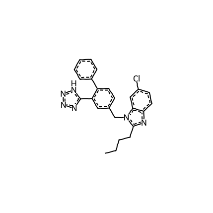 CCCCc1nc2ccc(Cl)cc2n1Cc1ccc(-c2ccccc2)c(-c2nnn[nH]2)c1